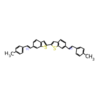 Cc1ccc(/C=C/c2ccc3cc(-c4cc5ccc(/C=C/c6ccc(C)cc6)cc5s4)sc3c2)cc1